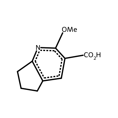 COc1nc2c(cc1C(=O)O)CCC2